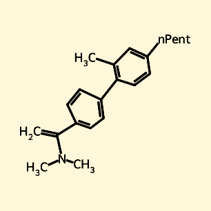 C=C(c1ccc(-c2ccc(CCCCC)cc2C)cc1)N(C)C